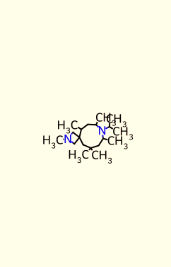 CC(C)N1C(C)CC(C)C2(CN(C)C2)CC(C)(C)CC1C